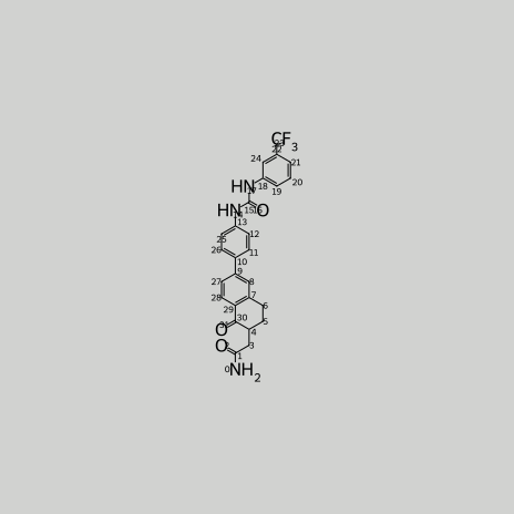 NC(=O)CC1CCc2cc(-c3ccc(NC(=O)Nc4cccc(C(F)(F)F)c4)cc3)ccc2C1=O